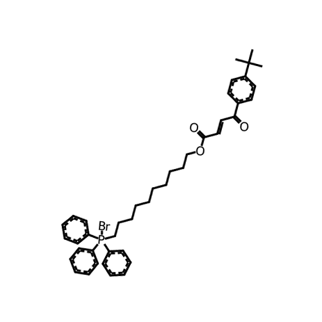 CC(C)(C)c1ccc(C(=O)/C=C/C(=O)OCCCCCCCCCCP(Br)(c2ccccc2)(c2ccccc2)c2ccccc2)cc1